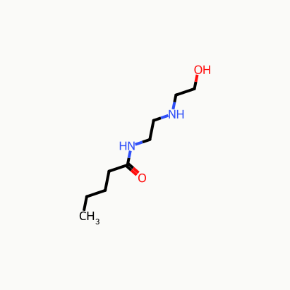 CCCCC(=O)NCCNCCO